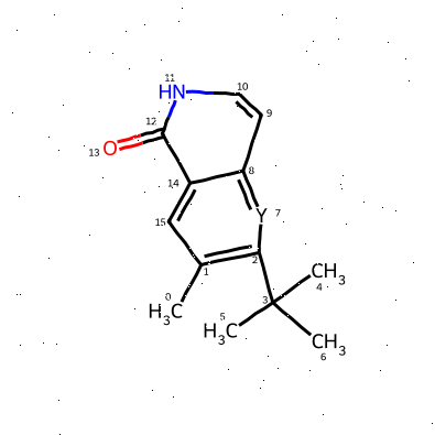 CC1=[C](C(C)(C)C)[Y]=[c]2cc[nH]c(=O)c2=C1